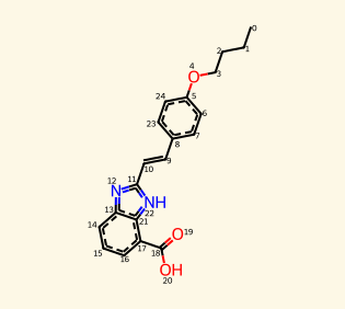 CCCCOc1ccc(C=Cc2nc3cccc(C(=O)O)c3[nH]2)cc1